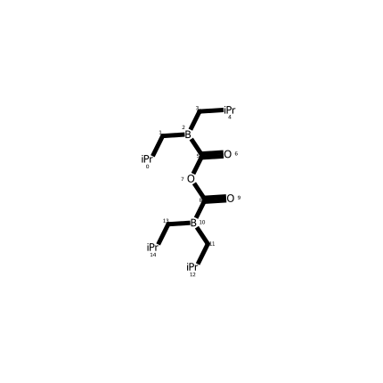 CC(C)CB(CC(C)C)C(=O)OC(=O)B(CC(C)C)CC(C)C